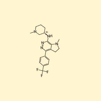 CN1CCC[C@@H](Nc2nnc(-c3ccc(C(F)(F)F)cc3)c3c2N(C)CC3)C1